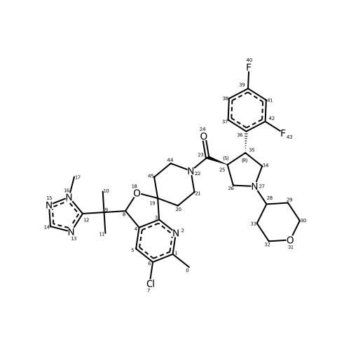 Cc1nc2c(cc1Cl)C(C(C)(C)c1ncnn1C)OC21CCN(C(=O)[C@@H]2CN(C3CCOCC3)C[C@H]2c2ccc(F)cc2F)CC1